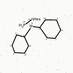 C1CCC([2P]C2CCCCC2)CC1.CCCCCCP